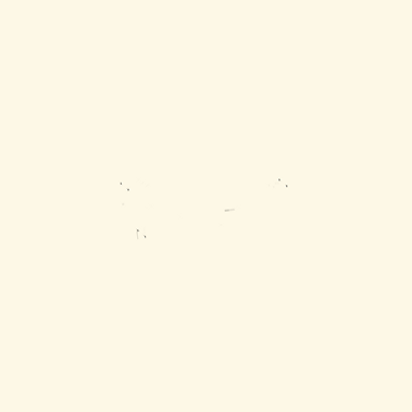 Cn1c2ccc(-c3cccc(CC#N)c3)cc2c2ccncc21